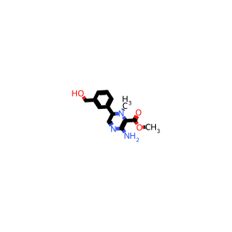 COC(=O)C1=C(N)N=CC(c2cccc(CO)c2)N1C